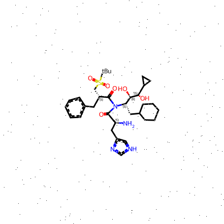 CC(C)(C)S(=O)(=O)C[C@@H](Cc1ccccc1)C(=O)N(C(=O)[C@@H](N)Cc1c[nH]cn1)[C@@H](CC1CCCCC1)[C@@H](O)[C@@H](O)C1CC1